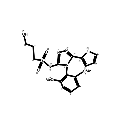 COc1cccc(OC)c1-n1c(NS(=O)(=O)CCCO)nnc1-c1ccco1